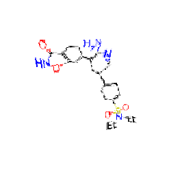 CCN(CC)S(=O)(=O)c1ccc(-c2cnc(N)c(-c3ccc4c(=O)[nH]oc4c3)c2)cc1